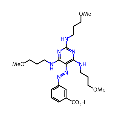 COCCCNc1nc(NCCCOC)c(N=Nc2cccc(C(=O)O)c2)c(NCCCOC)n1